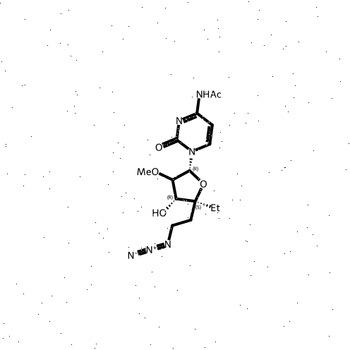 CC[C@@]1(CCN=[N+]=[N-])O[C@@H](n2ccc(NC(C)=O)nc2=O)C(OC)[C@H]1O